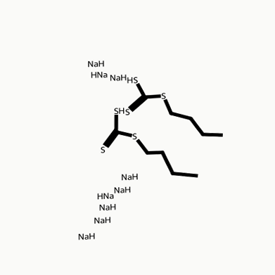 CCCCSC(=S)S.CCCCSC(=S)S.[NaH].[NaH].[NaH].[NaH].[NaH].[NaH].[NaH].[NaH].[NaH]